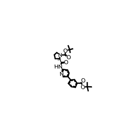 CC(C)(C)OC(=O)c1cccc(-c2ccc(NC(=O)[C@H]3CCCN3C(=O)OC(C)(C)C)nc2)c1